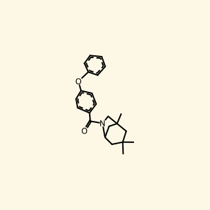 CC1(C)CC2CC(C)(CN2C(=O)c2ccc(Oc3ccccc3)cc2)C1